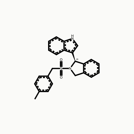 Cc1ccc(CS(=O)(=O)N2Cc3ccccc3[C@@H]2c2c[nH]c3ccccc23)cc1